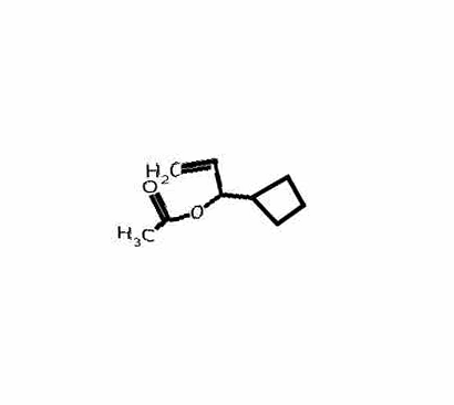 C=CC(OC(C)=O)C1CCC1